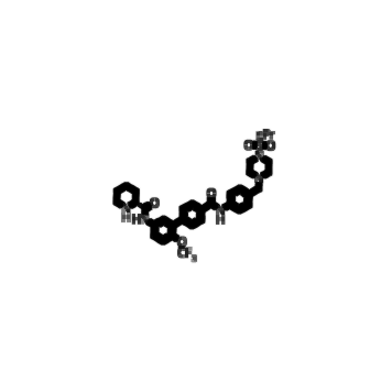 CCCS(=O)(=O)N1CCN(Cc2ccc(NC(=O)c3ccc(-c4cc(NC(=O)[C@@H]5CCCCN5)ccc4OC(F)(F)F)cc3)cc2)CC1